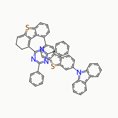 C1=c2sc3cccc(-c4ccc5sc6cc(-n7c8ccccc8c8ccccc87)ccc6c5c4)c3c2=C(c2nc(-c3ccccc3)nc(-c3ccccc3)n2)CC1